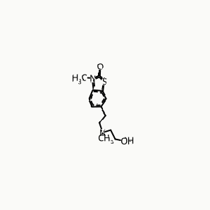 CN(CCO)CCc1ccc2c(c1)sc(=O)n2C